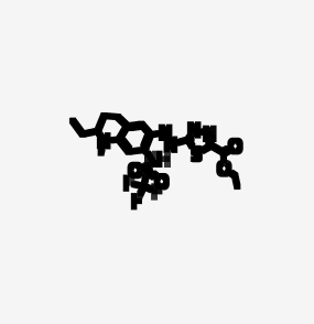 CCOC(=O)c1nnc(N=Nc2cc3c(cc2NS(=O)(=O)C(F)(F)F)N(C)C(CC)CC3)s1